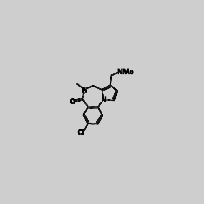 CNCc1ccn2c1CN(C)C(=O)c1cc(Cl)ccc1-2